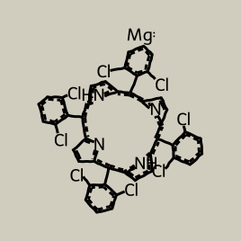 Clc1cccc(Cl)c1-c1c2nc(c(-c3c(Cl)cccc3Cl)c3ccc([nH]3)c(-c3c(Cl)cccc3Cl)c3nc(c(-c4c(Cl)cccc4Cl)c4ccc1[nH]4)C=C3)C=C2.[Mg]